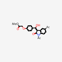 COC(=O)COc1ccc(C(O)=C2C(=O)N(C(C)=O)c3ccc(C(C)=O)cc32)cc1